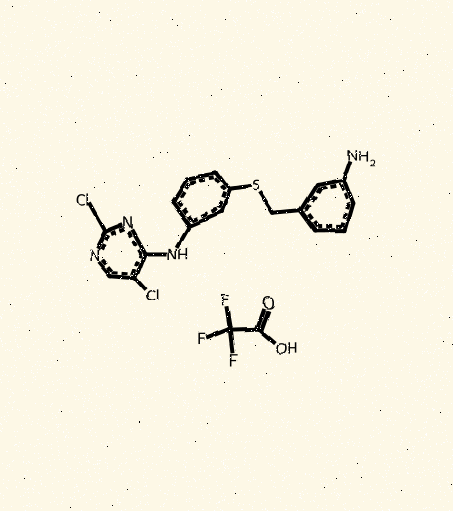 Nc1cccc(CSc2cccc(Nc3nc(Cl)ncc3Cl)c2)c1.O=C(O)C(F)(F)F